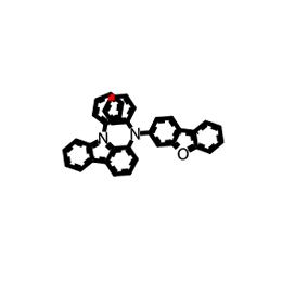 c1ccc(N(c2ccc3c(c2)oc2ccccc23)c2cccc3c4ccccc4n(-c4ccccc4)c23)cc1